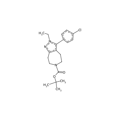 CCn1nc2c(c1-c1ccc(Cl)cc1)CCN(C(=O)OC(C)(C)C)CC2